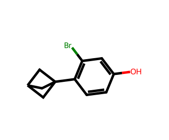 Oc1ccc(C23CC(C2)C3)c(Br)c1